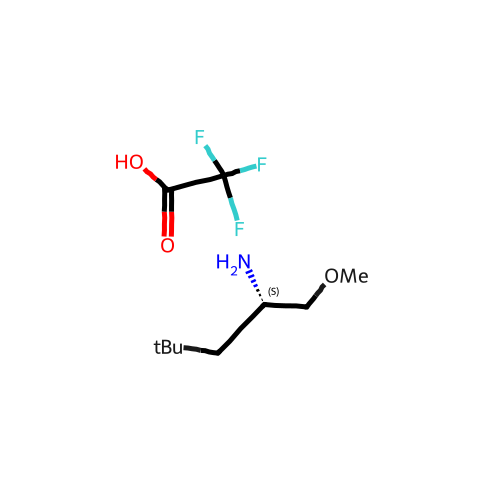 COC[C@@H](N)CC(C)(C)C.O=C(O)C(F)(F)F